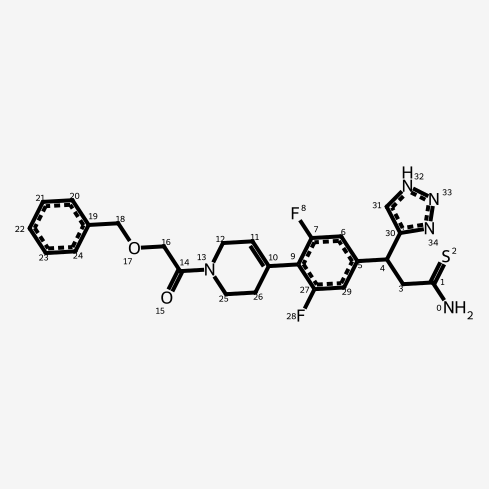 NC(=S)CC(c1cc(F)c(C2=CCN(C(=O)COCc3ccccc3)CC2)c(F)c1)c1c[nH]nn1